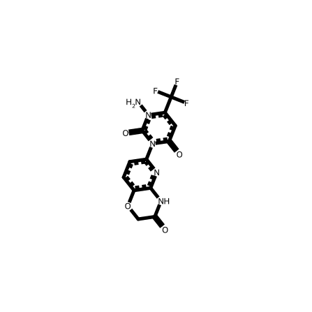 Nn1c(C(F)(F)F)cc(=O)n(-c2ccc3c(n2)NC(=O)CO3)c1=O